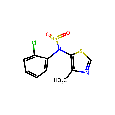 O=C(O)c1ncsc1N(c1ccccc1Cl)[SH](=O)=O